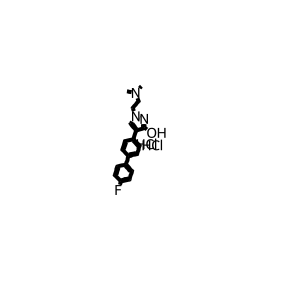 CN(C)CCn1cc(-c2ccc(-c3ccc(F)cc3)cc2)c(O)n1.Cl.Cl